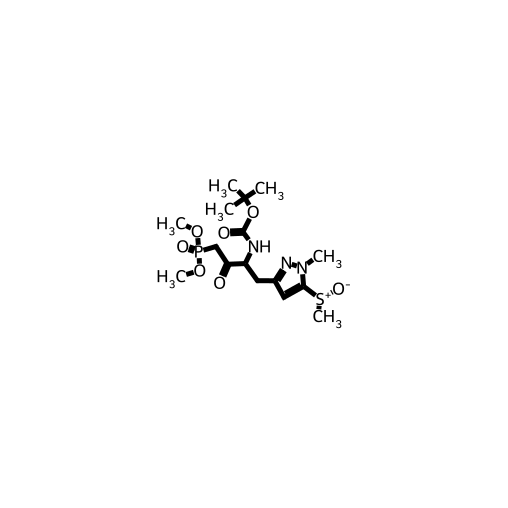 COP(=O)(CC(=O)C(Cc1cc([S+](C)[O-])n(C)n1)NC(=O)OC(C)(C)C)OC